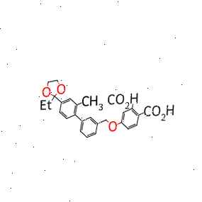 CCC1(c2ccc(-c3cccc(COc4ccc(C(=O)O)c(C(=O)O)c4)c3)c(C)c2)OCCO1